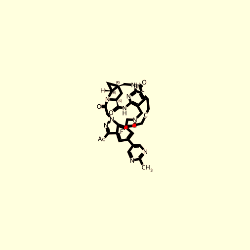 CC(=O)c1nn2c3c(cc(-c4cnc(C)nc4)cc13)CCCCCCC(=O)NC[C@@]13C[C@@H](C(=O)Nc4nc(Br)ccc4CN4CC(F)C4)N(C(=O)C2)[C@@H]1C3